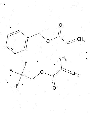 C=C(C)C(=O)OCC(F)(F)F.C=CC(=O)OCc1ccccc1